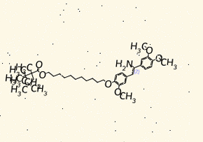 COc1ccc(/C(N)=C/c2ccc(OCCCCCCCCCCCOC(=O)C(C)(CC(C)(C)C)C(C)(C)C)c(OC)c2)cc1OC